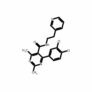 Cc1nc(C)c(C(=O)NCCc2cccnc2)c(-c2ccc(Cl)c(Cl)c2)n1